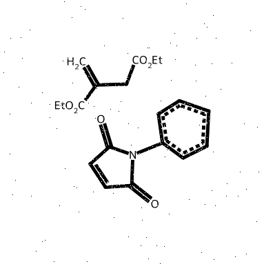 C=C(CC(=O)OCC)C(=O)OCC.O=C1C=CC(=O)N1c1ccccc1